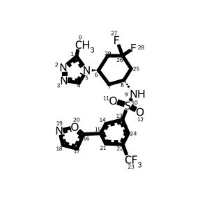 Cc1nncn1[C@H]1C[C@@H](NS(=O)(=O)c2cc(-c3ccno3)cc(C(F)(F)F)c2)CC(F)(F)C1